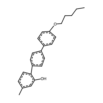 CCCCCOc1ccc(-c2ccc(-c3ccc(C)cc3O)cc2)cc1